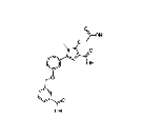 Cc1c(-c2cccc(OCc3cccc(C(=O)O)c3)c2)sc(C(=O)O)c1OCC(=O)O